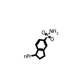 CCCC1CCc2cc(S(N)(=O)=O)ccc21